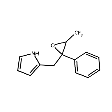 FC(F)(F)C1OC1(Cc1ccc[nH]1)c1ccccc1